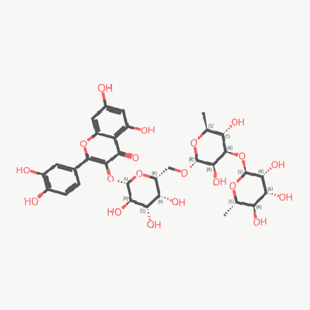 C[C@@H]1O[C@@H](O[C@@H]2[C@@H](O)[C@H](C)O[C@@H](OC[C@H]3O[C@@H](Oc4c(-c5ccc(O)c(O)c5)oc5cc(O)cc(O)c5c4=O)[C@H](O)[C@@H](O)[C@H]3O)[C@@H]2O)[C@H](O)[C@H](O)[C@H]1O